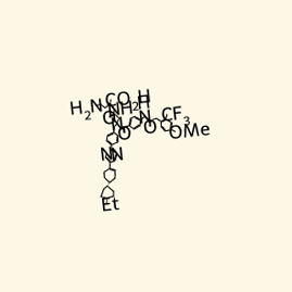 CC[C@H]1CC[C@H](C2CC=C(c3cnc(-c4ccc(CN(CC(=O)N[C@@H](CCN)C(=O)O)C(=O)c5ccc(NC(=O)Cc6ccc(OC)cc6C(F)(F)F)cc5)cc4)nc3)CC2)CC1